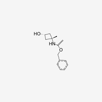 C=C(N[C@]1(C)C[C@H](O)C1)OCc1ccccc1